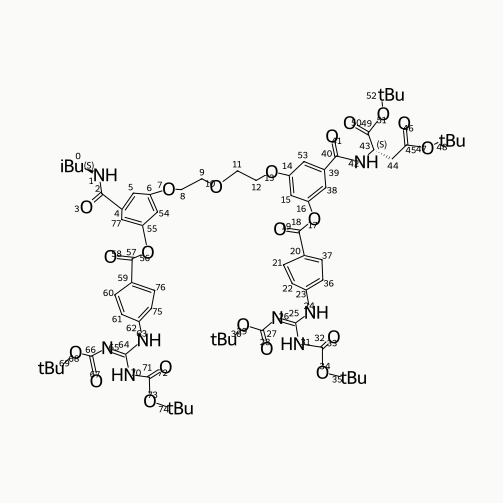 CC[C@H](C)NC(=O)c1cc(OCCOCCOc2cc(OC(=O)c3ccc(NC(=NC(=O)OC(C)(C)C)NC(=O)OC(C)(C)C)cc3)cc(C(=O)N[C@@H](CC(=O)OC(C)(C)C)C(=O)OC(C)(C)C)c2)cc(OC(=O)c2ccc(NC(=NC(=O)OC(C)(C)C)NC(=O)OC(C)(C)C)cc2)c1